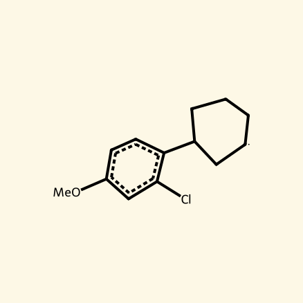 COc1ccc(C2C[CH]CCC2)c(Cl)c1